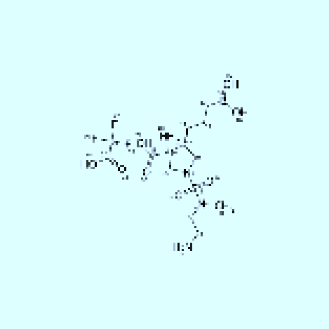 CN(CCN)S(=O)(=O)N1C[C@H](CCCB(O)O)[C@](N)(C(=O)O)C1.O=C(O)C(F)(F)F